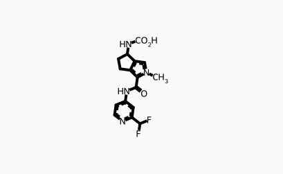 Cn1cc2c(c1C(=O)Nc1ccnc(C(F)F)c1)CCC2NC(=O)O